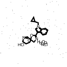 Cl.Cl.O.O.c1ccc2c(c1)c(C1=NCC3(CN4CCC3CC4)O1)cn2CC1CC1